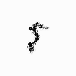 CO[C@@H]1CCN(c2nccc(Nc3cc4c(cn3)c(C(=O)NC3CCN(C(=O)N5CCN(CCCCNc6cccc7c6C(=O)N([C@H]6CCC(=O)NC6=O)C7=O)CC5)CC3)cn4C3CCCC3)n2)C[C@@H]1F